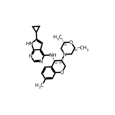 Cc1ccc2c(c1)OC[C@H](N1C[C@@H](C)O[C@@H](C)C1)[C@H]2Nc1ncnc2[nH]c(C3CC3)cc12